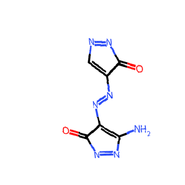 NC1=C(N=NC2=CN=NC2=O)C(=O)N=N1